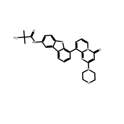 CC(C)(N)C(=O)Nc1ccc2sc3c(-c4cccn5c(=O)cc(N6CCOCC6)nc45)cccc3c2c1